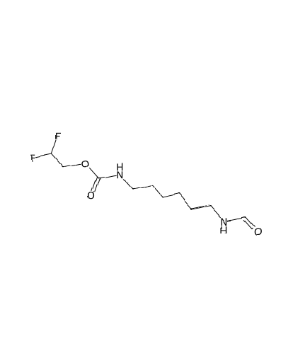 O=CNCCCCCCNC(=O)OCC(F)F